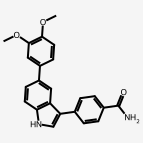 COc1ccc(-c2ccc3[nH]cc(-c4ccc(C(N)=O)cc4)c3c2)cc1OC